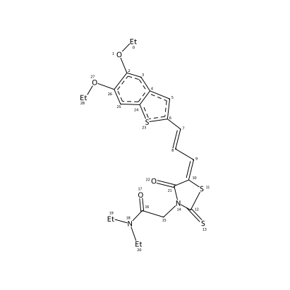 CCOc1cc2cc(C=CC=C3SC(=S)N(CC(=O)N(CC)CC)C3=O)sc2cc1OCC